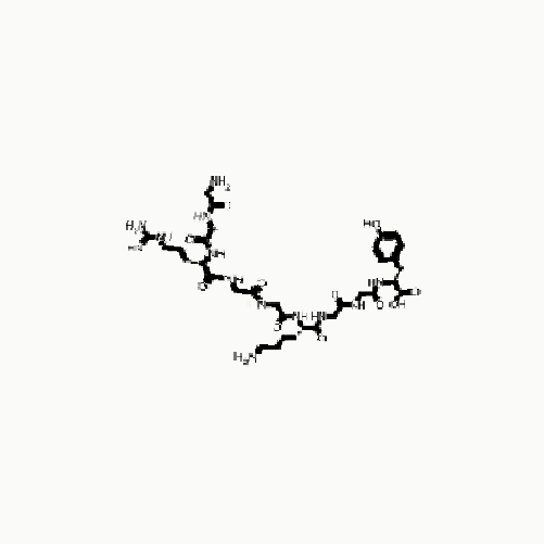 N=C(N)NCCC[C@H](NC(=O)CNC(=O)CN)C(=O)NCC(=O)NCC(=O)N[C@@H](CCCCN)C(=O)NCC(=O)NCC(=O)N[C@@H](Cc1ccc(O)cc1)C(=O)O